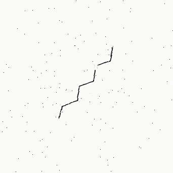 CCNCCCCF.Cl